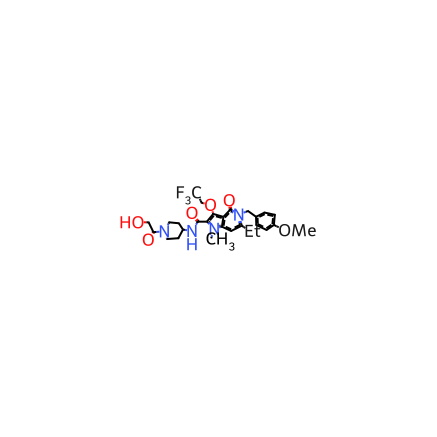 CCc1cc2c(c(OCC(F)(F)F)c(C(=O)NC3CCN(C(=O)CO)CC3)n2C)c(=O)n1Cc1ccc(OC)cc1